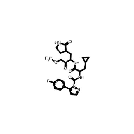 O=C1NCCC1CC(NC(=O)C(CC1CC1)NC(=O)n1nccc1-c1ccc(F)cc1)C(=O)COC(F)(F)F